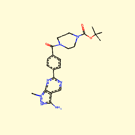 Cn1nc(N)c2cnc(-c3ccc(C(=O)N4CCN(C(=O)OC(C)(C)C)CC4)cc3)nc21